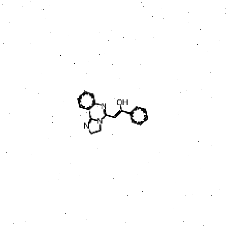 O/C(=C\C1=Nc2ccccc2C2=NCCN12)c1ccccc1